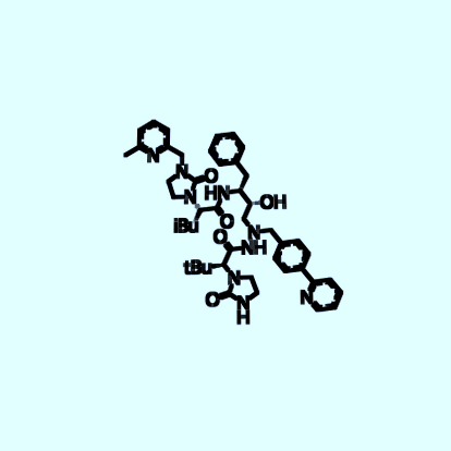 CC[C@H](C)[C@@H](C(=O)N[C@@H](Cc1ccccc1)[C@H](O)CN(Cc1ccc(-c2ccccn2)cc1)NC(=O)[C@@H](N1CCNC1=O)C(C)(C)C)N1CCN(Cc2cccc(C)n2)C1=O